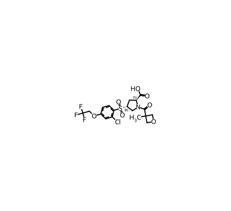 CC1(C(=O)N2C[C@H](S(=O)(=O)c3ccc(OCC(F)(F)F)cc3Cl)C[C@H]2C(=O)O)COC1